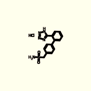 Cl.NS(=O)(=O)Cc1ccc(-c2ccccc2-c2nnn[nH]2)cc1